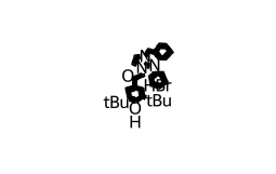 Br.CC(C)(C)c1cc(C(=O)Cn2ccn(Cc3ccccc3)c2=Nc2ccccc2)cc(C(C)(C)C)c1O